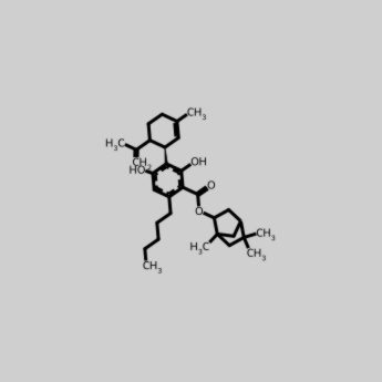 C=C(C)C1CCC(C)=C[C@H]1c1c(O)cc(CCCCC)c(C(=O)OC2CC3CC2(C)CC3(C)C)c1O